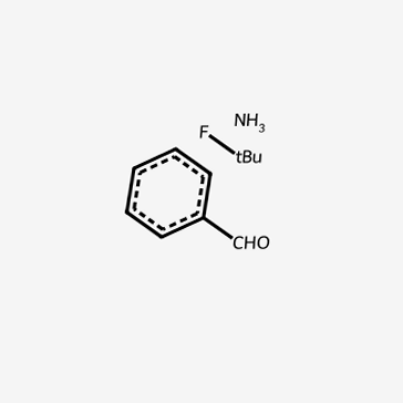 CC(C)(C)F.N.O=Cc1ccccc1